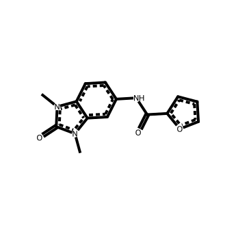 Cn1c(=O)n(C)c2cc(NC(=O)c3ccco3)ccc21